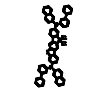 CCC1(CC)c2cc(N(c3cccc(-c4ccccc4)c3)c3ccc4ccccc4c3)ccc2-c2cc3sc4cc(N(c5cccc(-c6ccccc6)c5)c5ccc6ccccc6c5)ccc4c3cc21